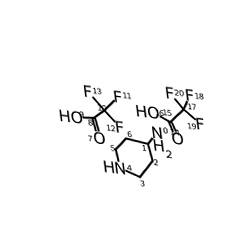 NC1CCNCC1.O=C(O)C(F)(F)F.O=C(O)C(F)(F)F